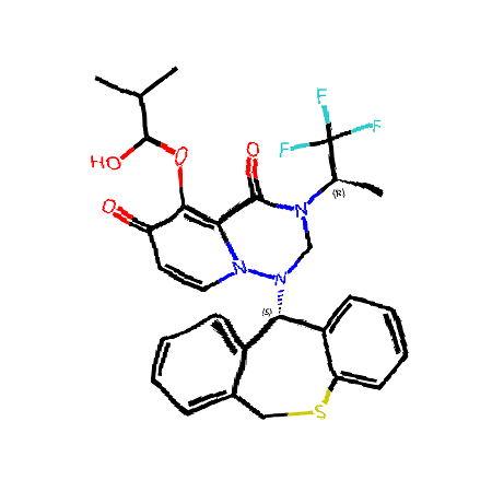 CC(C)C(O)Oc1c2n(ccc1=O)N([C@H]1c3ccccc3CSc3ccccc31)CN([C@H](C)C(F)(F)F)C2=O